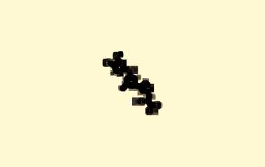 COc1nc(Nc2cc(C)cc(-c3cnn(C[C@@H](O)C(=O)O)c3)c2)ncc1Cl